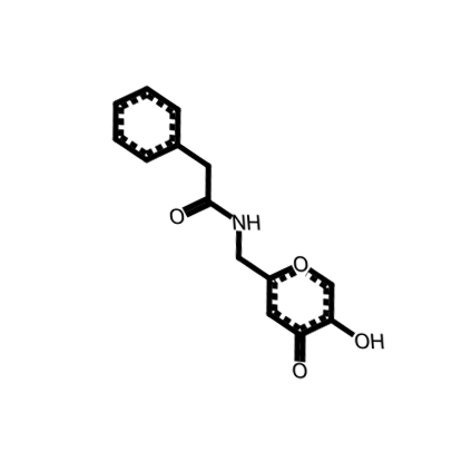 O=C(Cc1ccccc1)NCc1cc(=O)c(O)co1